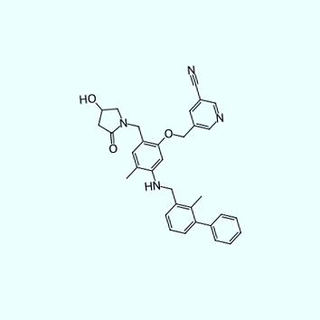 Cc1cc(CN2CC(O)CC2=O)c(OCc2cncc(C#N)c2)cc1NCc1cccc(-c2ccccc2)c1C